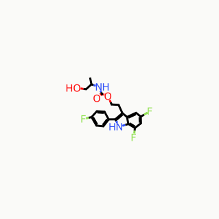 CC(CO)NC(=O)OCCc1c(-c2ccc(F)cc2)[nH]c2c(F)cc(F)cc12